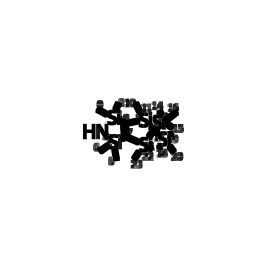 C[Si]1(C)N[Si](C)(C)C2=C1[Si](C)(C)C([Si](C)(C)C)([Si](C)(C)C)[Si]2(C)C